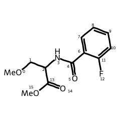 COCC(NC(=O)c1ccccc1F)C(=O)OC